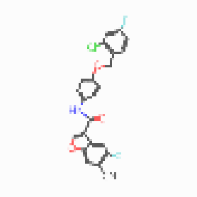 N#Cc1cc2occ(C(=O)Nc3ccc(OCc4ccc(F)cc4Cl)cc3)c2cc1F